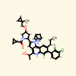 CC(O)c1nc2c(F)c(-c3cccc(Cl)c3Cl)c(CCC#N)cc2c2c1cc(C1CC(OCC3(C#N)CC3)CN1C(=O)C1CC1)n2C1C2CNC1C2